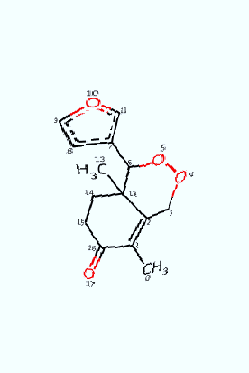 CC1=C2COOC(c3ccoc3)C2(C)CCC1=O